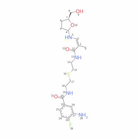 C/C(=C/NC1CC[C@@H](CO)O1)C(=O)NCCSCCNC(=O)c1ccc(F)c(N)c1